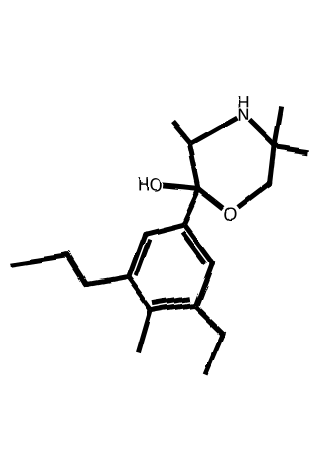 CCCc1cc(C2(O)OCC(C)(C)NC2C)cc(CC)c1C